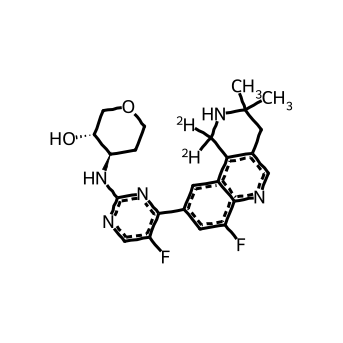 [2H]C1([2H])NC(C)(C)Cc2cnc3c(F)cc(-c4nc(N[C@@H]5CCOC[C@H]5O)ncc4F)cc3c21